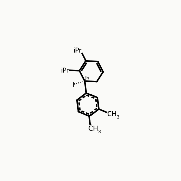 Cc1ccc([C@]2(I)CC=CC(C(C)C)=C2C(C)C)cc1C